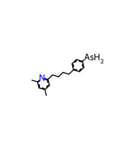 Cc1cc(C)nc(CCCCc2ccc([AsH2])cc2)c1